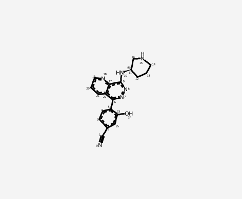 N#Cc1ccc(-c2nnc(N[C@@H]3CCCNC3)c3ncccc23)c(O)c1